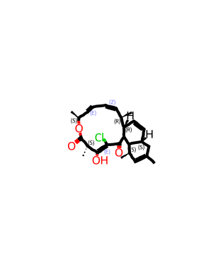 CC1=C[C@@H](C)C2C3C(=O)/C(Cl)=C(\O)[C@H](C)C(=O)O[C@@H](C)/C=C/C=C\[C@@H](C)[C@@H]3C=C[C@@H]2C1